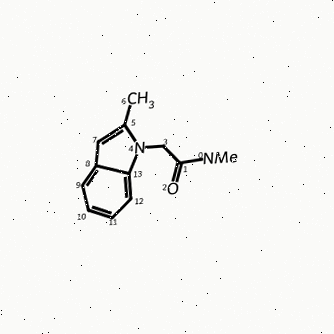 CNC(=O)Cn1c(C)cc2ccccc21